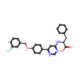 O=C(O)C(Cc1ccccc1)Nc1cc(-c2ccc(OCc3cccc(F)c3)cc2)ncn1